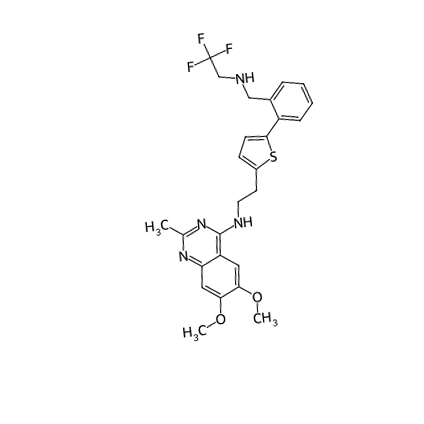 COc1cc2nc(C)nc(NCCc3ccc(-c4ccccc4CNCC(F)(F)F)s3)c2cc1OC